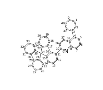 c1ccc(-c2cccc3nc(-c4cccc5c4-c4ccccc4C54c5ccccc5-c5ccccc54)ccc23)cc1